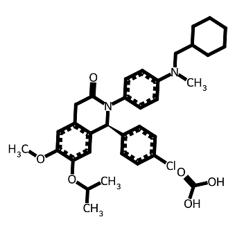 COc1cc2c(cc1OC(C)C)[C@H](c1ccc(Cl)cc1)N(c1ccc(N(C)CC3CCCCC3)cc1)C(=O)C2.O=C(O)O